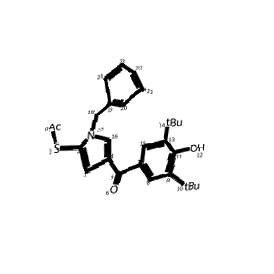 CC(=O)Sc1cc(C(=O)c2cc(C(C)(C)C)c(O)c(C(C)(C)C)c2)cn1Cc1ccccc1